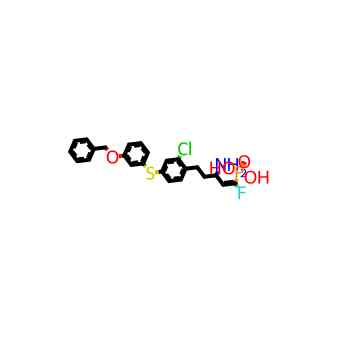 NC(C=C(F)P(=O)(O)O)CCc1ccc(Sc2cccc(OCc3ccccc3)c2)cc1Cl